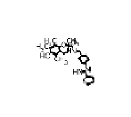 Cc1c(C)c2c(c(C)c1O)CCC(C)(C(=O)NCc1ccc(NC(=N)c3cccs3)cc1)O2